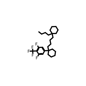 CCCCC1(CCCCC2(c3cc(F)c(C(F)(F)F)c(F)c3)CCCCC2)CCCCC1